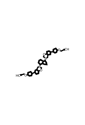 C#CCOc1ccc(-c2ccc3c(c2)CN(c2cccc4c(N5COc6ccc(-c7ccc(OCC#C)cc7)cc6C5)cccc24)CO3)cc1